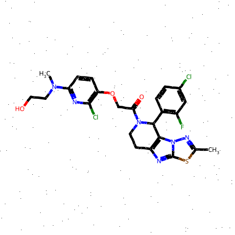 Cc1nn2c3c(nc2s1)CCN(C(=O)COc1ccc(N(C)CCO)nc1Cl)C3c1ccc(Cl)cc1F